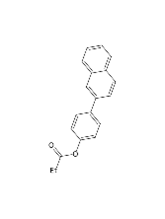 CCC(=O)Oc1ccc(-c2ccc3ccccc3c2)cc1